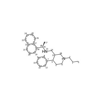 CCCN1CCC(c2ccccc2)C(CN[C@H](C)c2cccc3ccccc23)C1